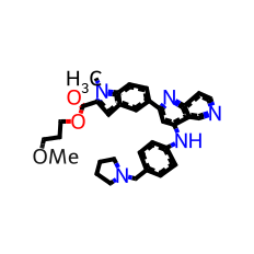 COCCCOC(=O)c1cc2cc(-c3cc(Nc4ccc(CN5CCCC5)cc4)c4cnccc4n3)ccc2n1C